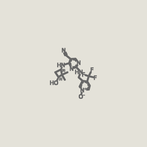 CC1(C)[C@@H](O)C[C@H]1Nc1nc(NCc2c[n+]([O-])ccc2C(F)(F)F)ncc1C#N